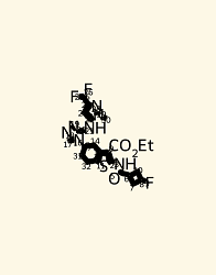 CCOC(=O)c1c(NC(=O)C2CC(F)C2)sc2c1C[C@@H](n1cnnc1Nc1cc(C(F)F)nn1C)CC2